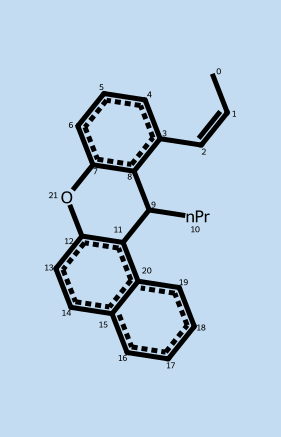 C/C=C\c1cccc2c1C(CCC)c1c(ccc3ccccc13)O2